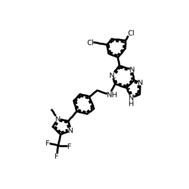 Cn1cc(C(F)(F)F)nc1-c1ccc(CNc2nc(-c3cc(Cl)cc(Cl)c3)nc3nc[nH]c23)cc1